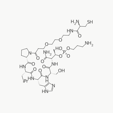 CC(C)C[C@H](NC(=O)[C@@H]1CCCN1C(=O)CCOCCOCCNC(=O)[C@@H](N)CS)C(=O)N[C@@H](Cc1cnc[nH]1)C(=O)N[C@@H](CO)C(=O)N[C@H](C(N)=O)[C@@H](C)OP(=O)(O)OCCCN